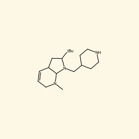 CN1CC=CC2CC(C(C)(C)C)N(CC3CCNCC3)C21